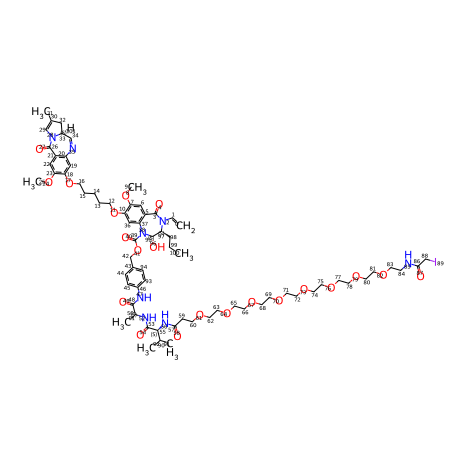 C=CN1C(=O)c2cc(OC)c(OCCCCCOc3cc4c(cc3OC)C(=O)N3C=C(C)C[C@H]3C=N4)cc2N(C(=O)OCc2ccc(NC(=O)[C@H](C)NC(=O)[C@@H](NC(=O)CCOCCOCCOCCOCCOCCOCCOCCOCCNC(=O)CI)C(C)C)cc2)[C@@H](O)[C@@H]1CCC